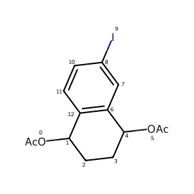 CC(=O)OC1CCC(OC(C)=O)c2cc(I)ccc21